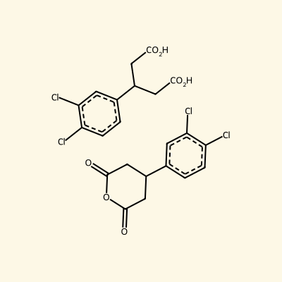 O=C(O)CC(CC(=O)O)c1ccc(Cl)c(Cl)c1.O=C1CC(c2ccc(Cl)c(Cl)c2)CC(=O)O1